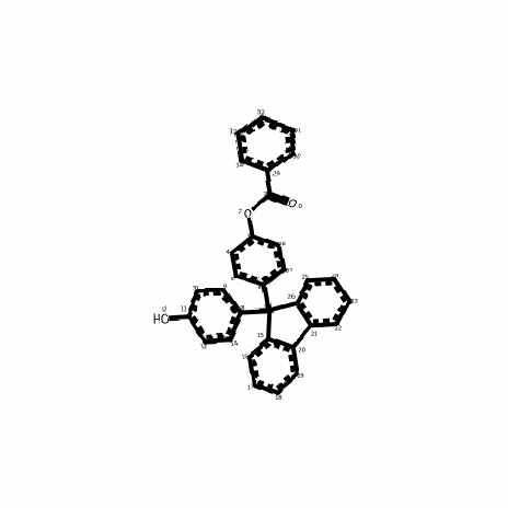 O=C(Oc1ccc(C2(c3ccc(O)cc3)c3ccccc3-c3ccccc32)cc1)c1ccccc1